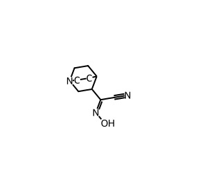 N#CC(=NO)C1CN2CCC1CC2